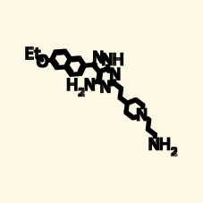 CCOc1ccc2cc(-c3n[nH]c4nc(CCC5CCN(CCCN)CC5)nc(N)c34)ccc2c1